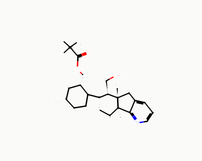 C[C@H]1CC[C@](C)([C@H]2CC[C@]3(C)c4ncccc4C[C@H]3[C@@H]2CO)[C@@H](COC(=O)C(C)(C)C)C1